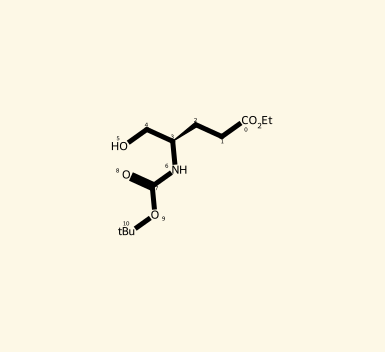 CCOC(=O)CC[C@H](CO)NC(=O)OC(C)(C)C